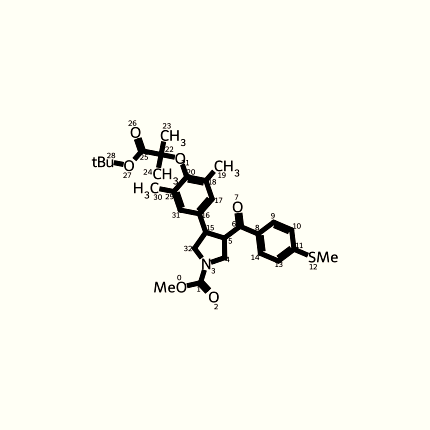 COC(=O)N1CC(C(=O)c2ccc(SC)cc2)C(c2cc(C)c(OC(C)(C)C(=O)OC(C)(C)C)c(C)c2)C1